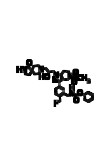 CS(=O)(=O)N1CCc2c(c(-c3ccc(CF)c(CNC(=O)Oc4ccccc4)c3)nn2CC(O)CN2CCC3(CCNC3=O)CC2)C1